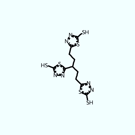 Sc1nnc(CCC(CCc2nnc(S)s2)c2nnc(S)s2)s1